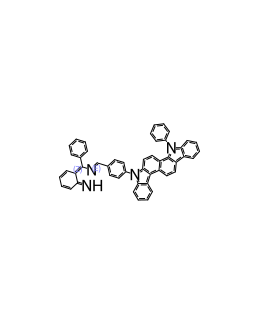 N=C1C=CC=C/C1=C(/N=C/c1ccc(-n2c3ccccc3c3c4ccc5c6ccccc6n(-c6ccccc6)c5c4ccc32)cc1)c1ccccc1